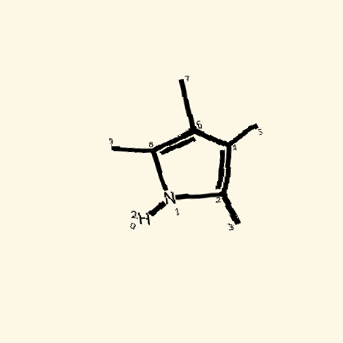 [2H]n1c(C)c(C)c(C)c1C